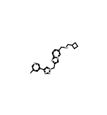 Ic1cncc(-c2cn(Cc3cn4cc(CNCC5CCC5)ccc4n3)nn2)c1